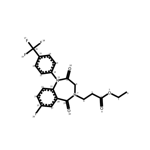 CCOC(=O)CCN1CC(=O)N(c2ccc(C(F)(F)F)cc2)c2ccc(I)cc2C1=O